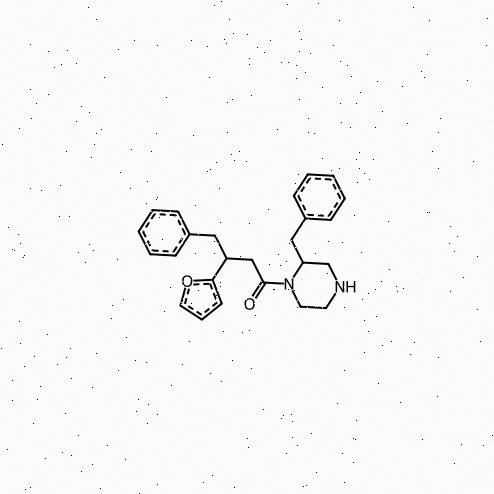 O=C(CC(Cc1ccccc1)c1ccco1)N1CCNCC1Cc1ccccc1